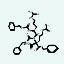 COC(=O)[C@@](CCCNC(=N)N)(C(=O)OCc1ccccc1)N(C(=O)OCc1ccccc1)C(=O)[C@H](CCCNC(=N)N)NC(=O)OCc1ccccc1